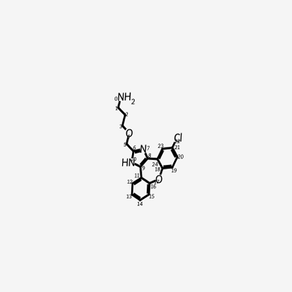 NCCCOCc1nc2c([nH]1)-c1ccccc1Oc1ccc(Cl)cc1-2